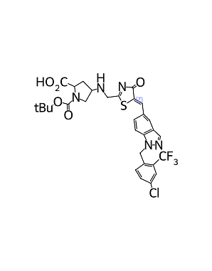 CC(C)(C)OC(=O)N1CC(NCC2=NC(=O)/C(=C/c3ccc4c(cnn4Cc4ccc(Cl)cc4C(F)(F)F)c3)S2)CC1C(=O)O